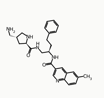 Cc1ccc2ncc(C(=O)N[C@H](CCc3ccccc3)CNC(=O)[C@H]3C[C@H](CN)CN3)cc2c1